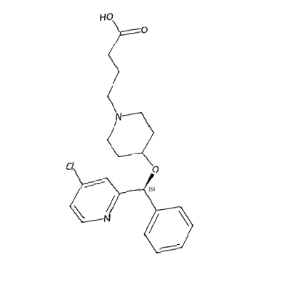 O=C(O)CCCN1CCC(O[C@@H](c2ccccc2)c2cc(Cl)ccn2)CC1